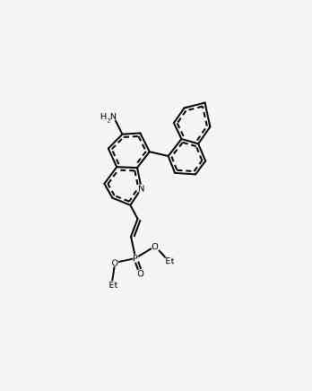 CCOP(=O)(C=Cc1ccc2cc(N)cc(-c3cccc4ccccc34)c2n1)OCC